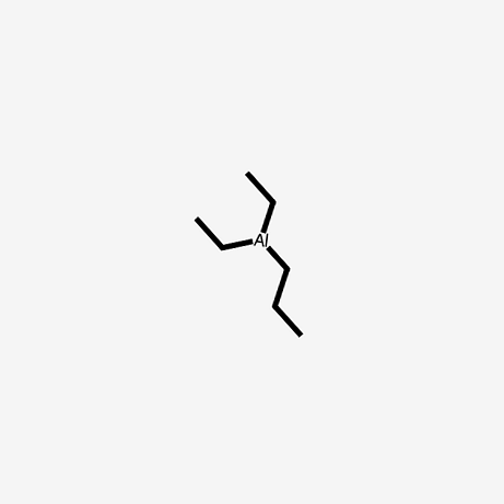 CC[CH2][Al]([CH2]C)[CH2]C